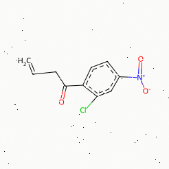 C=CCC(=O)c1ccc([N+](=O)[O-])cc1Cl